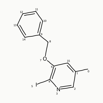 Cc1cnc(I)c(OCc2ccccc2)c1